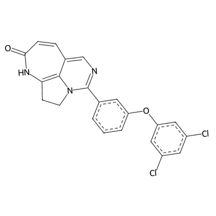 O=C1C=CC2=CN=C(c3cccc(Oc4cc(Cl)cc(Cl)c4)c3)N3CCC(=C23)N1